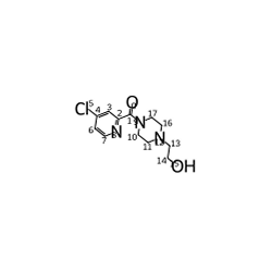 O=C(c1cc(Cl)ccn1)N1CCN(CCO)CC1